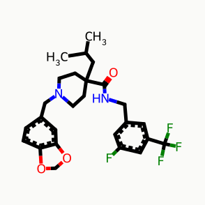 CC(C)CC1(C(=O)NCc2cc(F)cc(C(F)(F)F)c2)CCN(Cc2ccc3c(c2)OCO3)CC1